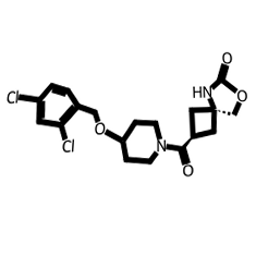 O=C1N[C@]2(CO1)C[C@H](C(=O)N1CCC(OCc3ccc(Cl)cc3Cl)CC1)C2